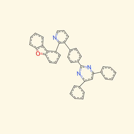 c1ccc(-c2cc(-c3ccccc3)nc(-c3ccc(-c4cccnc4-c4cccc5oc6ccccc6c45)cc3)n2)cc1